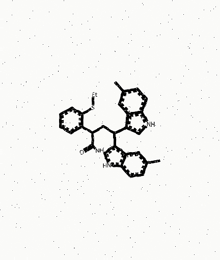 CCSc1ccccc1C(CC(c1c[nH]c2ccc(C)cc12)c1c[nH]c2ccc(C)cc12)C(N)=O